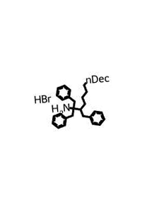 Br.CCCCCCCCCCCCCCC(Cc1ccccc1)C(N)(Cc1ccccc1)Cc1ccccc1